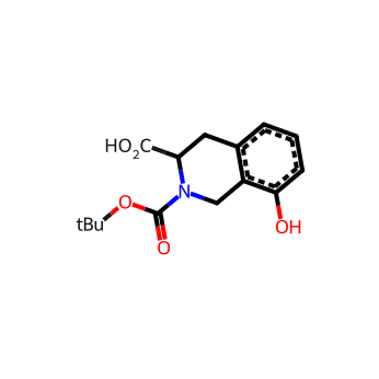 CC(C)(C)OC(=O)N1Cc2c(O)cccc2CC1C(=O)O